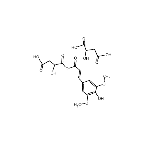 COc1cc(/C=C/C(=O)OC(=O)C(O)CC(=O)O)cc(OC)c1O.O=C(O)CC(O)C(=O)O